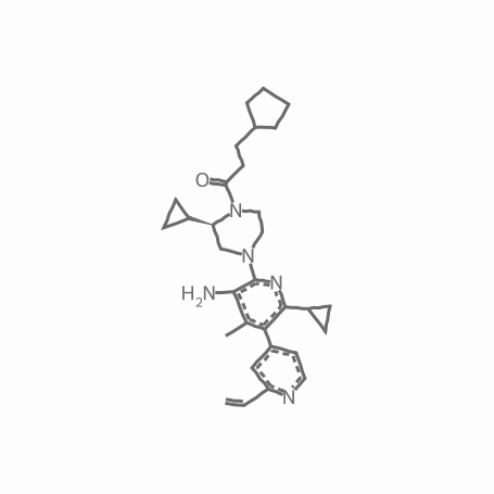 C=Cc1cc(-c2c(C3CC3)nc(N3CCN(C(=O)CCC4CCCC4)[C@H](C4CC4)C3)c(N)c2C)ccn1